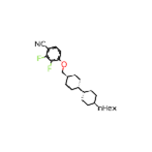 CCCCCC[C@H]1CC[C@H]([C@H]2CC[C@H](COc3ccc(C#N)c(F)c3F)CC2)CC1